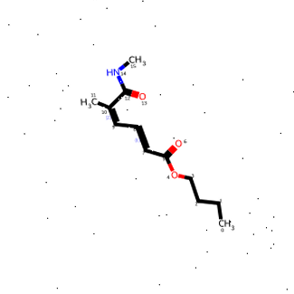 CCCCOC(=O)/C=C/C=C(/C)C(=O)NC